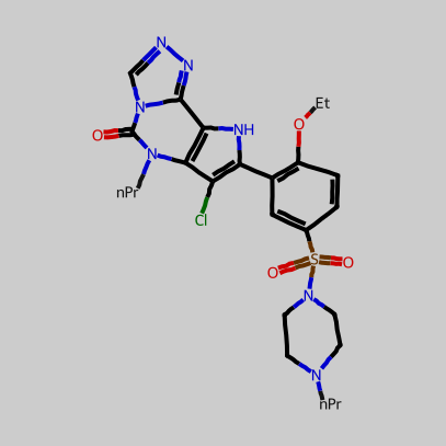 CCCN1CCN(S(=O)(=O)c2ccc(OCC)c(-c3[nH]c4c(c3Cl)n(CCC)c(=O)n3cnnc43)c2)CC1